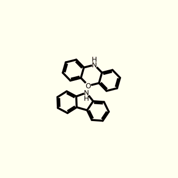 c1ccc2c(c1)Nc1ccccc1O2.c1ccc2c(c1)[nH]c1ccccc12